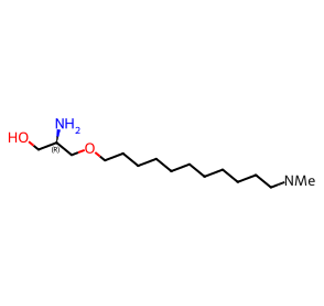 CNCCCCCCCCCCCOC[C@H](N)CO